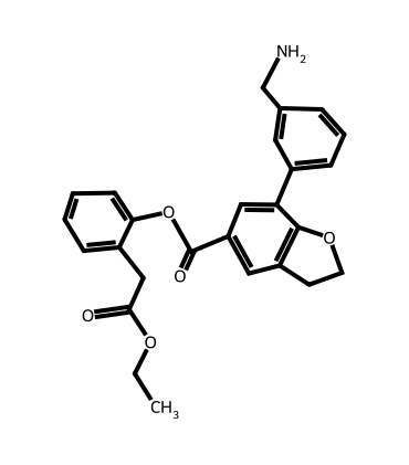 CCOC(=O)Cc1ccccc1OC(=O)c1cc2c(c(-c3cccc(CN)c3)c1)OCC2